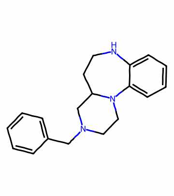 c1ccc(CN2CCN3c4ccccc4NCCC3C2)cc1